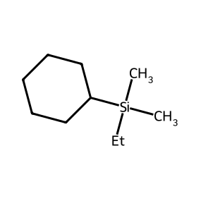 [CH2]C[Si](C)(C)C1CCCCC1